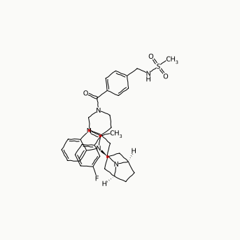 Cc1nc2ccccc2n1[C@H]1C[C@H]2CC[C@@H](C1)N2CCC1(c2cccc(F)c2)CCN(C(=O)c2ccc(CNS(C)(=O)=O)cc2)CC1